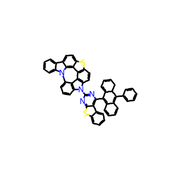 C1=CCC2C(=C1)C(c1nc(-n3c4ccc5sc6ccc7c8ccccc8n8c9cccc3c9c4c5c6c78)nc3sc4ccccc4c13)=c1ccccc1=C2c1ccccc1